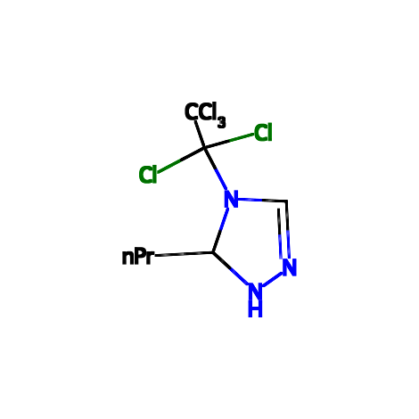 CCCC1NN=CN1C(Cl)(Cl)C(Cl)(Cl)Cl